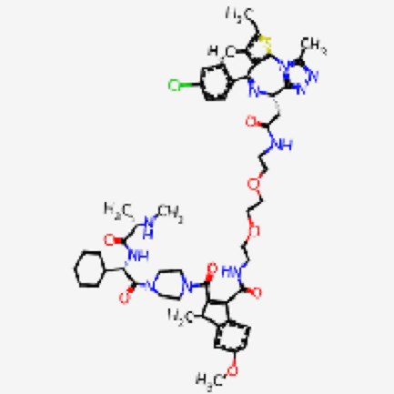 CN[C@@H](C)C(=O)N[C@H](C(=O)N1CCN(C(=O)C2=C(C(=O)NCCOCCOCCNC(=O)C[C@@H]3N=C(c4ccc(Cl)cc4)c4c(sc(C)c4C)-n4c(C)nnc43)c3ccc(OC)cc3C2C)CC1)C1CCCCC1